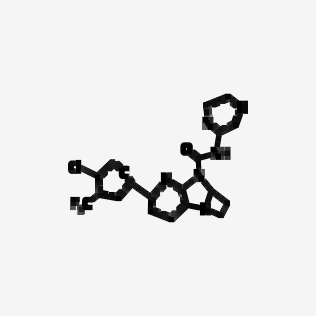 O=C(Nc1cnccn1)N1c2nc(-c3ccc(Cl)c(C(F)(F)F)c3)ccc2N2CCC21